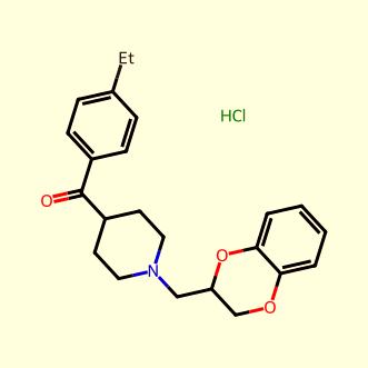 CCc1ccc(C(=O)C2CCN(CC3COc4ccccc4O3)CC2)cc1.Cl